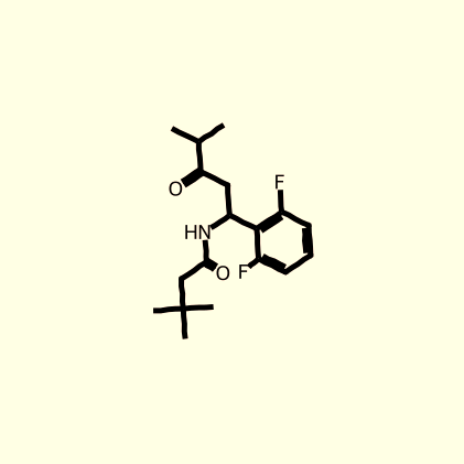 CC(C)C(=O)CC(NC(=O)CC(C)(C)C)c1c(F)cccc1F